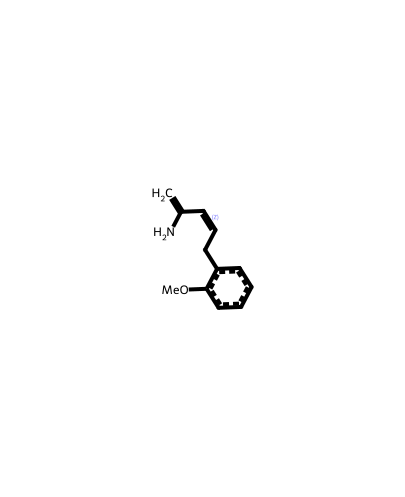 C=C(N)/C=C\Cc1ccccc1OC